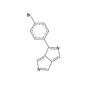 Brc1ccc(C2=NC=C3C=NC=C32)cc1